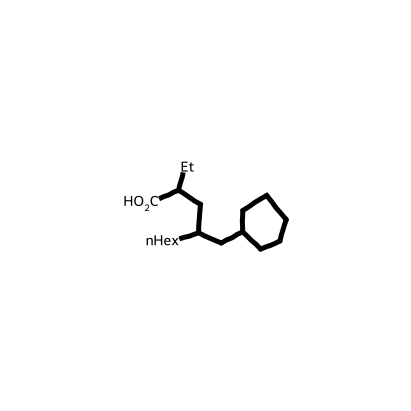 CCCCCCC(CC1CCCCC1)CC(CC)C(=O)O